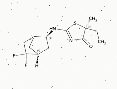 CC[C@]1(C)SC(N[C@H]2C[C@H]3CC2CC3(F)F)=NC1=O